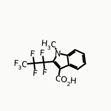 Cn1c(C(F)(F)C(F)(F)C(F)(F)F)c(C(=O)O)c2ccccc21